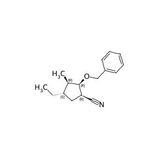 CC[C@H]1C[C@H](C#N)[C@H](OCc2ccccc2)[C@@H]1C